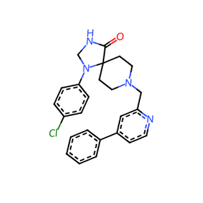 O=C1NCN(c2ccc(Cl)cc2)C12CCN(Cc1cc(-c3ccccc3)ccn1)CC2